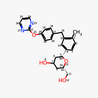 Cc1ccc([C@H]2CC(O)C[C@@H](CO)O2)cc1Cc1ccc(Oc2ncccn2)cc1